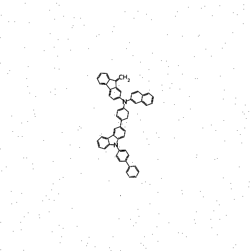 C=C1c2ccccc2-c2ccc(N(C3=CC=C(c4ccc5c(c4)c4ccccc4n5-c4ccc(-c5ccccc5)cc4)CC3)c3ccc4ccccc4c3)cc21